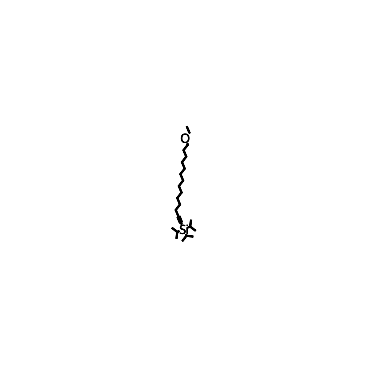 CCOCCCCCCCCCCCCC#C[Si](C(C)C)(C(C)C)C(C)C